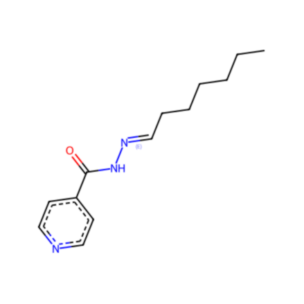 CCCCCC/C=N/NC(=O)c1ccncc1